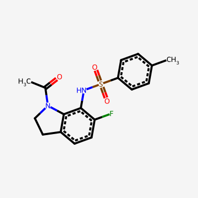 CC(=O)N1CCc2ccc(F)c(NS(=O)(=O)c3ccc(C)cc3)c21